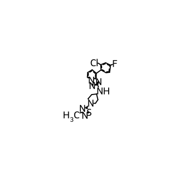 Cc1nsc(N2CCC(Nc3nc4c(-c5ccc(F)cc5Cl)cccn4n3)CC2)n1